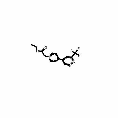 CCOC(=O)C[n+]1ccc(-c2cnnc(C(F)(F)F)c2)cc1